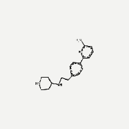 Nc1cccc(-c2ccc(CCNC3CCNCC3)cc2)n1